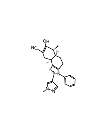 C[C@@H]1C(O)=C(C#N)C[C@]2(C)c3nc(-c4cnn(C)c4)n(-c4ccccc4)c3CC[C@@H]12